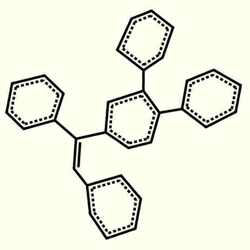 C(=C(c1ccccc1)c1ccc(-c2ccccc2)c(-c2ccccc2)c1)c1ccccc1